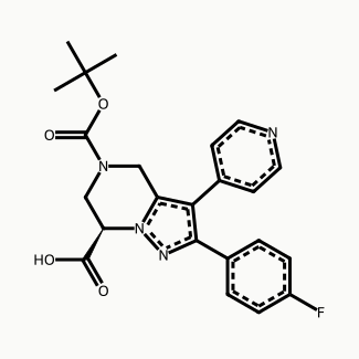 CC(C)(C)OC(=O)N1Cc2c(-c3ccncc3)c(-c3ccc(F)cc3)nn2[C@@H](C(=O)O)C1